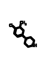 CC1CC(N2CCNCC2)=CC=C1Cl